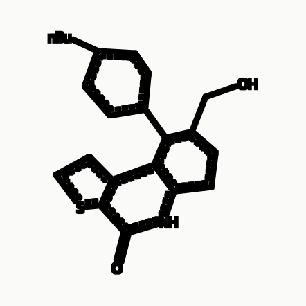 CCCCc1ccc(-c2c(CO)ccc3[nH]c(=O)c4sccc4c23)cc1